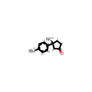 CC(C)(C)c1ccc(C2(C#N)CCC(=O)C2)cc1